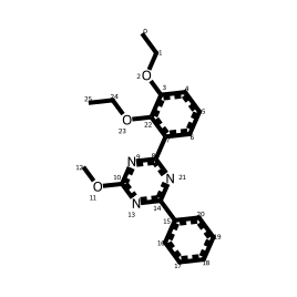 CCOc1cccc(-c2nc(OC)nc(-c3ccccc3)n2)c1OCC